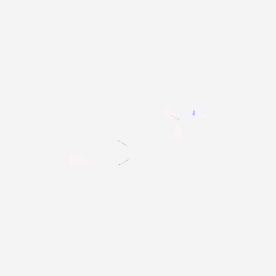 CC(C)(CCc1ccc(CO)cc1Cl)OC(N)=O